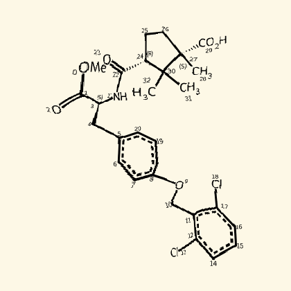 COC(=O)[C@H](Cc1ccc(OCc2c(Cl)cccc2Cl)cc1)NC(=O)[C@@H]1CC[C@](C)(C(=O)O)C1(C)C